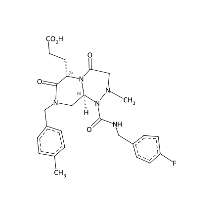 Cc1ccc(CN2C[C@H]3N(C(=O)CN(C)N3C(=O)NCc3ccc(F)cc3)[C@@H](CCC(=O)O)C2=O)cc1